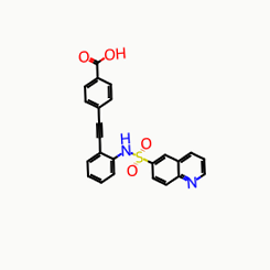 O=C(O)c1ccc(C#Cc2ccccc2NS(=O)(=O)c2ccc3ncccc3c2)cc1